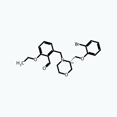 CCOc1cccc(CN2CCOC[C@H]2COc2ccccc2Br)c1C=O